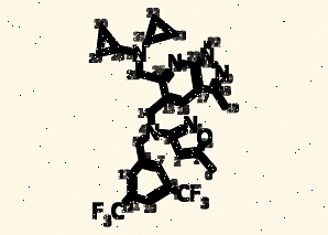 Cc1cc(N(Cc2cc(C(F)(F)F)cc(C(F)(F)F)c2)Cc2cc3c(C)nn(C)c3nc2CN(C2CC2)C2CC2)no1